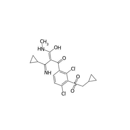 CN/C(O)=C(\C(=N)C1CC1)C(=O)c1ccc(Cl)c(S(=O)(=O)CC2CC2)c1Cl